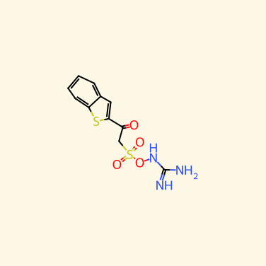 N=C(N)NOS(=O)(=O)CC(=O)c1cc2ccccc2s1